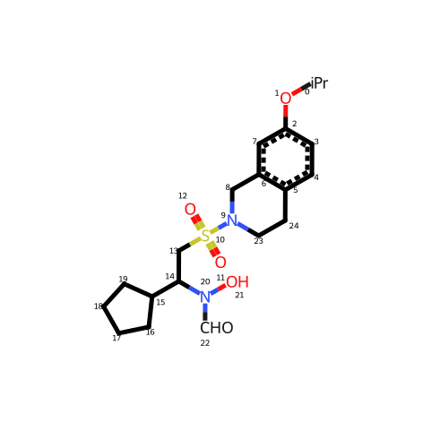 CC(C)Oc1ccc2c(c1)CN(S(=O)(=O)CC(C1CCCC1)N(O)C=O)CC2